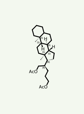 CC(=O)OCCC[C@@H](COC(C)=O)[C@H]1CC[C@H]2[C@@H]3CCC4CCCC[C@]4(C)[C@H]3CC[C@]12C